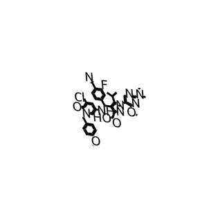 COc1ccc(Cn2cc(NC(c3ccc(C#N)c(F)c3)c3c(C(=O)O)nn(-c4cnc(N(C)C)nc4OC)c3C(C)C)cc(Cl)c2=O)cc1